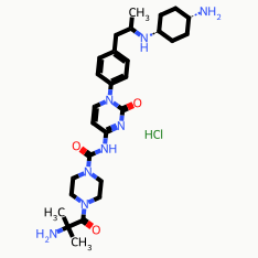 CC(Cc1ccc(-n2ccc(NC(=O)N3CCN(C(=O)C(C)(C)N)CC3)nc2=O)cc1)N[C@H]1CC[C@@H](N)CC1.Cl